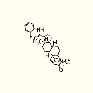 CCN1C(=O)C=C[C@@]2(C)C1CC[C@@H]1[C@H]2CC[C@]2(C)C(C(=O)Nc3ccccc3F)CC[C@@H]12